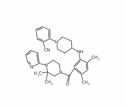 Cc1cc(C)c(C(=O)N2CCN(c3ccccn3)C(C)(C)C2)cc1NC1CCN(c2ccccc2C#N)CC1